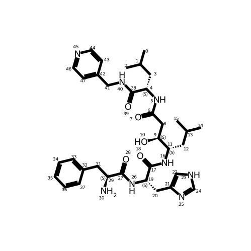 CC(C)C[C@H](NC(=O)C[C@H](O)[C@H](CC(C)C)NC(=O)[C@H](Cc1c[nH]cn1)NC(=O)[C@@H](N)Cc1ccccc1)C(=O)NCc1ccncc1